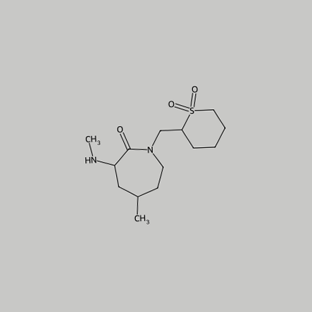 CNC1CC(C)CCN(CC2CCCCS2(=O)=O)C1=O